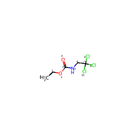 [CH2]COC(=O)NCC(Cl)(Cl)Cl